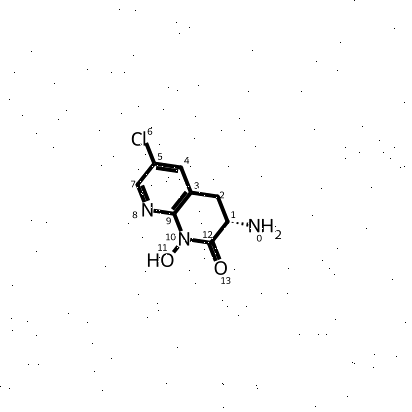 N[C@H]1Cc2cc(Cl)cnc2N(O)C1=O